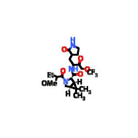 CCC(OC)C(=O)N1C[C@H]2[C@@H]([C@H]1C(=O)NC(CC1CCNC1=O)C(=O)COC(F)(F)F)C2(C)C